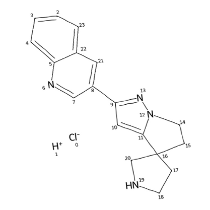 [Cl-].[H+].c1ccc2ncc(-c3cc4n(n3)CCC43CCNC3)cc2c1